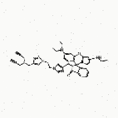 C#CCN(CC#C)Cc1cn(CCn2cc(CN3C(=O)c4ccccc4C34c3ccc(NCC)cc3Oc3cc(N(CC)CC)ccc34)nn2)nn1